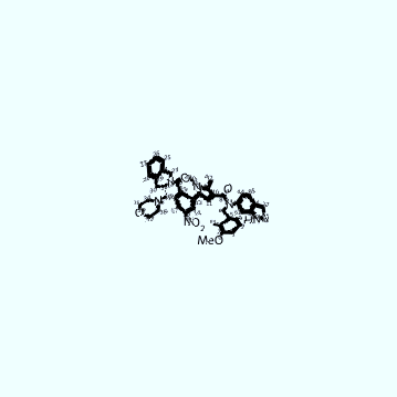 COc1cccc(CN(C(=O)c2cc(-c3cc([N+](=O)[O-])ccc3C(=O)N3Cc4ccccc4C[C@H]3CN3CCOCC3)n(C)c2C)c2ccc3cn[nH]c3c2)c1C